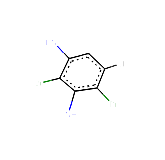 Nc1cc(C(F)(F)F)c(Br)c(N)c1Br